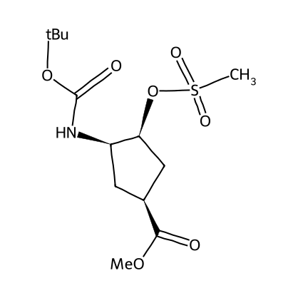 COC(=O)[C@@H]1C[C@H](OS(C)(=O)=O)[C@H](NC(=O)OC(C)(C)C)C1